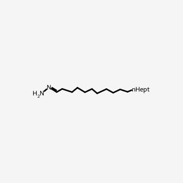 CCCCCCCCCCCCCCCCCC=NN